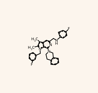 Cc1c(C)n(Cc2cccc(F)c2)c2c(N3CCc4ccccc4C3)nc(CNc3ccc(F)cc3)cc12